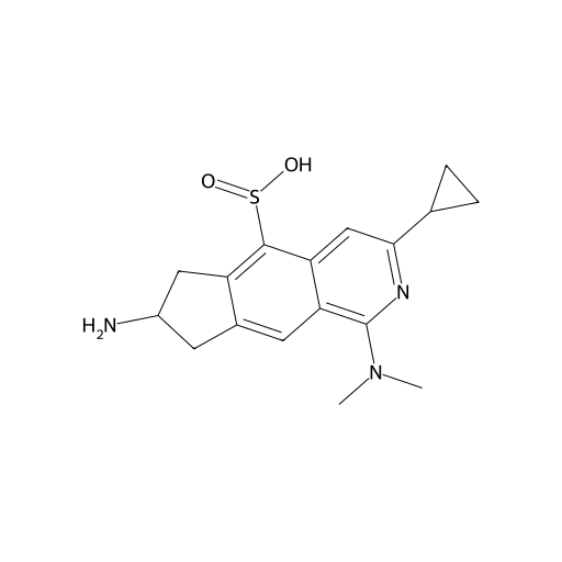 CN(C)c1nc(C2CC2)cc2c(S(=O)O)c3c(cc12)CC(N)C3